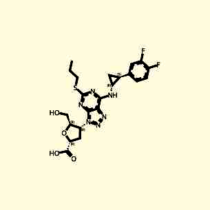 CCCSc1nc(N[C@@H]2C[C@H]2c2ccc(F)c(F)c2)c2nnn([C@@H]3C[C@H](C(=O)O)O[C@H]3CO)c2n1